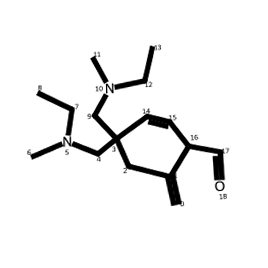 C=C1CC(CN(C)CC)(CN(C)CC)C=CC1C=O